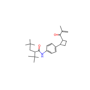 C=C(C)C(=O)C1CCC1c1ccc(NC(=O)C(CC(C)(C)C)C(C)(C)C)cc1